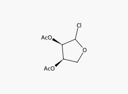 CC(=O)O[C@@H]1COC(Cl)[C@@H]1OC(C)=O